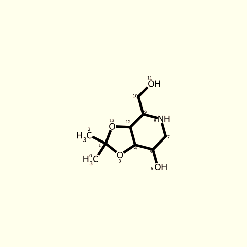 CC1(C)OC2C(O)CNC(CO)C2O1